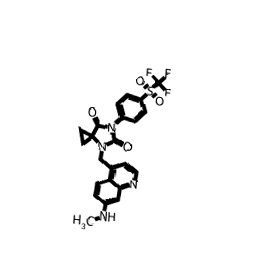 CNc1ccc2c(CN3C(=O)N(c4ccc(S(=O)(=O)C(F)(F)F)cc4)C(=O)C34CC4)ccnc2c1